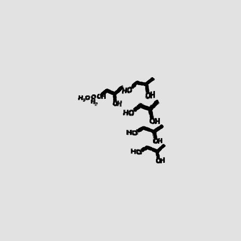 CC(O)CO.CC(O)CO.CC(O)CO.CC(O)CO.CC(O)CO.O.O